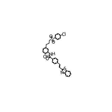 O=C(Nc1cc(CCCS(=O)(=O)c2ccc(Cl)cc2)ccc1O)c1ccc(C=Cc2nc3ccccc3s2)cc1